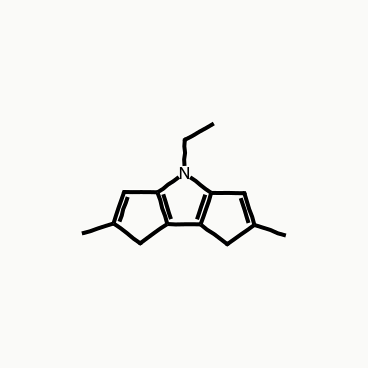 CCn1c2c(c3c1C=C(C)C3)CC(C)=C2